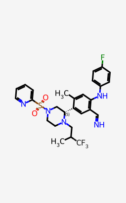 Cc1cc(Nc2ccc(F)cc2)c(C=N)cc1[C@H]1CN(S(=O)(=O)c2ccccn2)CCN1CC(C)C(F)(F)F